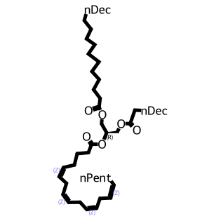 CCCCC/C=C\C/C=C\C/C=C\C/C=C\CCCC(=O)O[C@H](COC(=O)CCCCCCCCCCC)COC(=O)CCCCCCCCCCCCCCCCCCCC